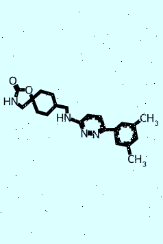 Cc1cc(C)cc(-c2ccc(NCC3CCC4(CC3)CNC(=O)O4)nn2)c1